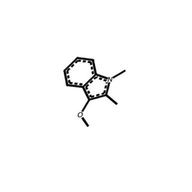 COc1c(C)n(C)c2ccccc12